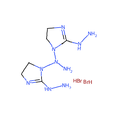 Br.Br.NNC1=NCCN1N(N)N1CCN=C1NN